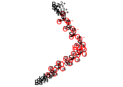 O.O.O=[Si]([O-])[O-].O=[Si]([O-])[O-].O=[Si]([O-])[O-].O=[Si]([O-])[O-].O=[Si]([O-])[O-].O=[Si]([O-])[O-].O=[Si]([O-])[O-].O=[Si]([O-])[O-].O=[Si]([O-])[O-].[Al+3].[Al+3].[Ba+2].[Ba+2].[K+].[K+].[Na+].[Na+].[Sr+2].[Sr+2]